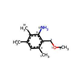 COCc1c(C)cc(C)c(C)c1N